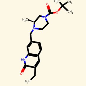 CCc1cc2ccc(CN3CCN(C(=O)OC(C)(C)C)C[C@@H]3C)cc2[nH]c1=O